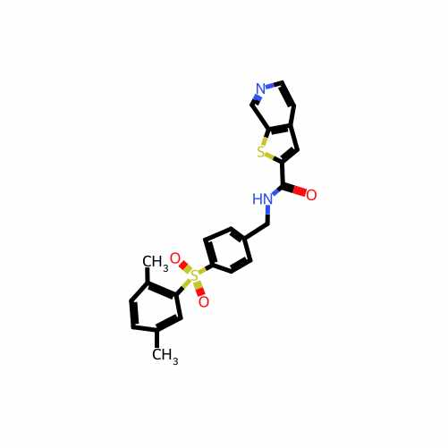 Cc1ccc(C)c(S(=O)(=O)c2ccc(CNC(=O)c3cc4ccncc4s3)cc2)c1